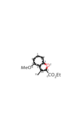 CCOC(=O)c1oc2cccc(OC)c2c1C